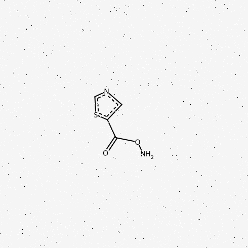 NOC(=O)c1cncs1